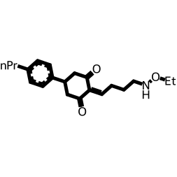 CCCc1ccc(C2CC(=O)C(=CCCCNOCC)C(=O)C2)cc1